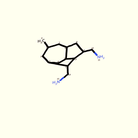 CC1CC2CC3C(C1)CC(CN)C3C2CN